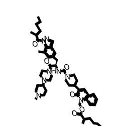 CCCCC(C)C(=O)OCn1c(=O)c(C2CCN(C(=O)N[C@H](Cc3cc(C)c4c(cnn4C(=O)C(C)CCCC)c3)C(=O)N3CCN(C4CCN(C)CC4)CC3)CC2)cc2ccccc21